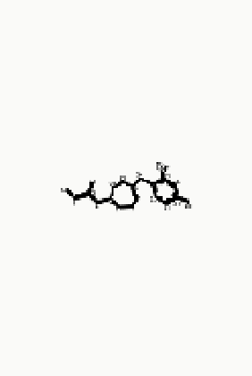 C/C=C(\C)CC1CCC=C(Cc2ccc(C)cc2Br)CC1